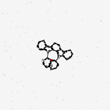 c1ccc(-n2c3ccccc3c3ccc4c5ccccc5n(-c5cnccn5)c4c32)cc1